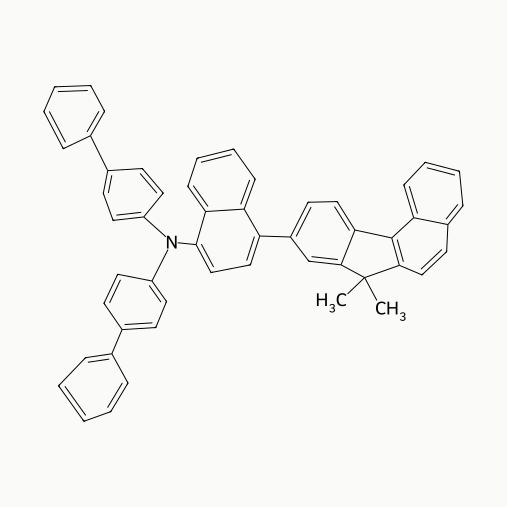 CC1(C)c2cc(-c3ccc(N(c4ccc(-c5ccccc5)cc4)c4ccc(-c5ccccc5)cc4)c4ccccc34)ccc2-c2c1ccc1ccccc21